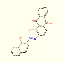 O=C1c2ccccc2C(=O)c2c1ccc(N=Nc1ccc3ccccc3c1O)c2O